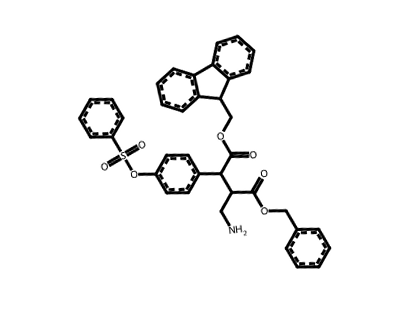 NCC(C(=O)OCc1ccccc1)C(C(=O)OCC1c2ccccc2-c2ccccc21)c1ccc(OS(=O)(=O)c2ccccc2)cc1